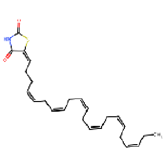 CC/C=C\C/C=C\C/C=C\C/C=C\C/C=C\C/C=C\CC/C=C1/SC(=O)NC1=O